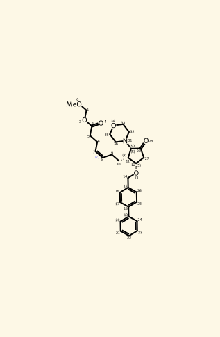 COCOC(=O)CC/C=C\CC[C@H]1[C@@H](OCc2ccc(-c3ccccc3)cc2)CC(=O)[C@@H]1N1CCOCC1